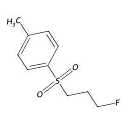 Cc1ccc(S(=O)(=O)CCCF)cc1